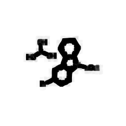 CCCCCCCCn1c2ccccc2c2cc(Br)ccc21.OB(O)O